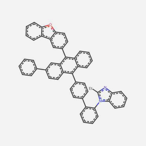 CCc1nc2ccccc2n1-c1ccccc1-c1ccc(-c2c3ccccc3c(-c3ccc4oc5ccccc5c4c3)c3cc(-c4ccccc4)ccc23)cc1